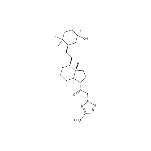 CC1(C)CC[C@@](C)(O)C[C@H]1CC[C@@H]1CCC[C@]2(C)[C@@H](C(=O)Cn3ncc(C(=O)O)n3)CC[C@@H]12